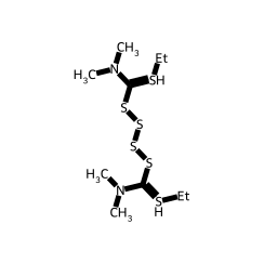 CC[SH]=C(SSSSC(=[SH]CC)N(C)C)N(C)C